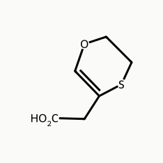 O=C(O)CC1=COCCS1